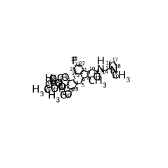 COc1cc(/C=C2/C(C)=C(CC(=O)NCc3cccn3C)c3cc(F)ccc32)cc(OC)c1OOP(=O)(O)OC